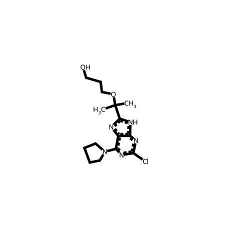 CC(C)(OCCCO)c1nc2c(N3CCCC3)nc(Cl)nc2[nH]1